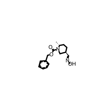 C[C@@H]1CC[C@@H](/C=N/O)CN1C(=O)OCc1ccccc1